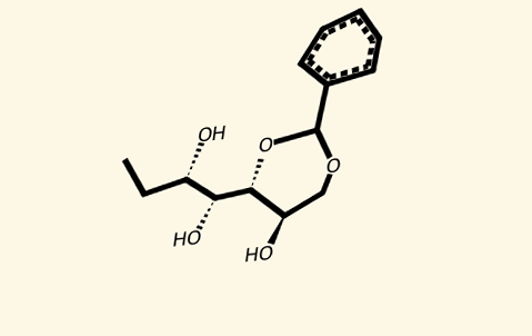 CC[C@H](O)[C@@H](O)[C@@H]1OC(c2ccccc2)OC[C@H]1O